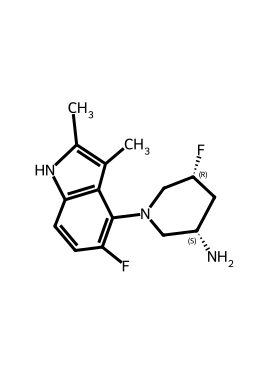 Cc1[nH]c2ccc(F)c(N3C[C@@H](N)C[C@@H](F)C3)c2c1C